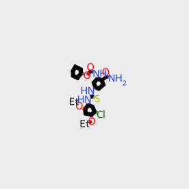 CCOc1cc(OCC)c(NC(=S)Nc2ccc(C(N)=O)c(NC(=O)Oc3ccccc3)c2)cc1Cl